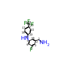 NCc1cc(F)cc(Nc2ccc(C(F)(F)F)cc2)c1